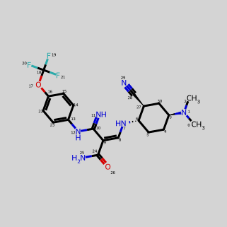 CN(C)[C@H]1CC[C@H](N/C=C(\C(=N)Nc2ccc(OC(F)(F)F)cc2)C(N)=O)[C@@H](C#N)C1